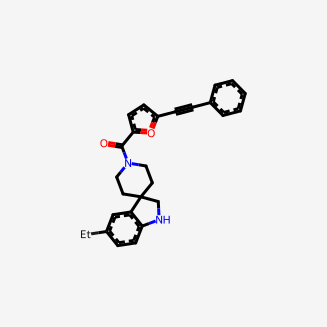 CCc1ccc2c(c1)C1(CCN(C(=O)c3ccc(C#Cc4ccccc4)o3)CC1)CN2